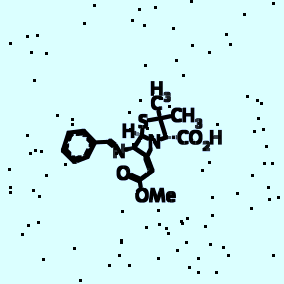 COC(=O)C=C1[C@@H](N=Cc2ccccc2)[C@H]2SC(C)(C)[C@H](C(=O)O)N12